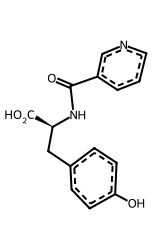 O=C(N[C@@H](Cc1ccc(O)cc1)C(=O)O)c1cccnc1